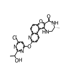 CC(O)c1nc(Cl)cc(Oc2ccc3c(ccc4oc5c(c43)NC[C@@H](C)NC5=O)n2)n1